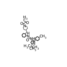 CC(=O)C(=O)N1CCC(Cc2ccccc2NC(=O)Nc2cc(C(C)(C)C)nn2-c2ccc(C)cc2)CC1